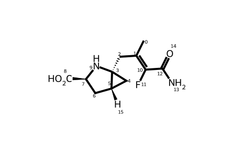 CC(C[C@]12C[C@@H]1C[C@@H](C(=O)O)N2)=C(F)C(N)=O